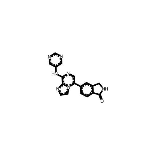 O=C1NCc2cc(-c3cnc(Nc4cncnc4)c4nccn34)ccc21